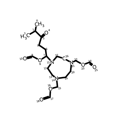 CC(C)C(=O)CCC(OC=O)N1CCN(COC=O)CCN(COC=O)CC1